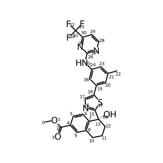 COC(=O)c1ccc2c(c1)CCC[C@]2(O)c1ncc(-c2cc(C)cc(Nc3nccc(C(F)(F)F)n3)c2)s1